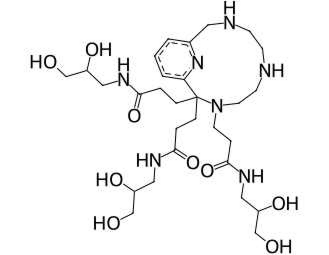 O=C(CCN1CCNCCNCc2cccc(n2)C1(CCC(=O)NCC(O)CO)CCC(=O)NCC(O)CO)NCC(O)CO